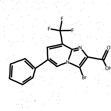 O=C(O)c1nc2c(C(F)(F)F)cc(-c3ccccc3)cn2c1Br